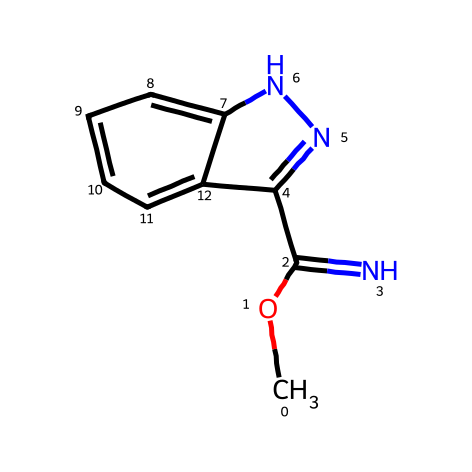 COC(=N)c1n[nH]c2ccccc12